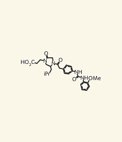 COc1ccccc1NC(=O)Nc1ccc(CC(=O)N2CC(=O)N(CCC(=O)O)CC2CC(C)C)cc1